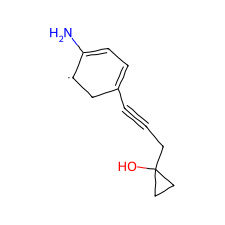 NC1=CC=C(C#CCC2(O)CC2)C[CH]1